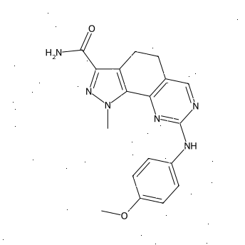 COc1ccc(Nc2ncc3c(n2)-c2c(c(C(N)=O)nn2C)CC3)cc1